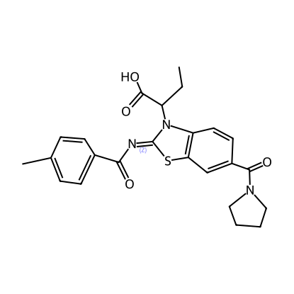 CCC(C(=O)O)n1/c(=N/C(=O)c2ccc(C)cc2)sc2cc(C(=O)N3CCCC3)ccc21